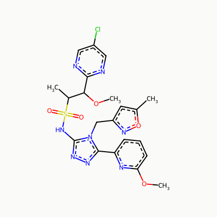 COc1cccc(-c2nnc(NS(=O)(=O)C(C)C(OC)c3ncc(Cl)cn3)n2Cc2cc(C)on2)n1